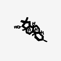 C[C@H]1C=C[C@@]2(C)[C@@H](CC[C@@H]3[C@@H]2CC[C@]2(C)[C@H](O)C(C)(C)C[C@@H]32)C1